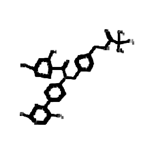 Cc1cnc(Cl)nc1-c1ccc(N(Cc2ccc(CNC(=O)C(C)(C)C)cc2)C(=O)c2ccc(O)cc2O)cc1